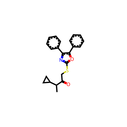 CC(C(=O)CSc1nc(-c2ccccc2)c(-c2ccccc2)o1)C1CC1